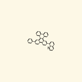 c1ccc(-c2ccc3c4ccc(-c5cccc6cccnc56)cc4c4c5ccccc5c5ccccc5c4c3c2)cc1